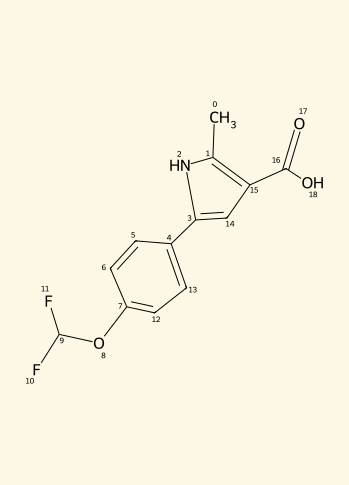 Cc1[nH]c(-c2ccc(OC(F)F)cc2)cc1C(=O)O